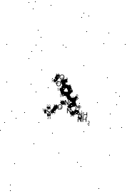 Cc1c(-c2ccc(C3(C)OCCO3)cc2)n(COCC[Si](C)(C)C)c2ncc(NN)nc12